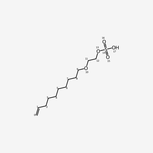 C=CCCCCCCCCOCCOS(=O)(=O)O